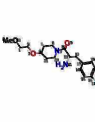 COCCOC1CCN(C(=O)[C@@H](N)Cc2ccc(F)cc2)CC1